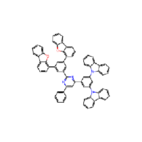 c1ccc(-c2cc(-c3cc(-n4c5ccccc5c5ccccc54)cc(-n4c5ccccc5c5ccccc54)c3)nc(-c3cc(-c4cccc5c4oc4ccccc45)cc(-c4cccc5c4oc4ccccc45)c3)n2)cc1